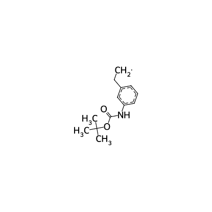 [CH2]Cc1cccc(NC(=O)OC(C)(C)C)c1